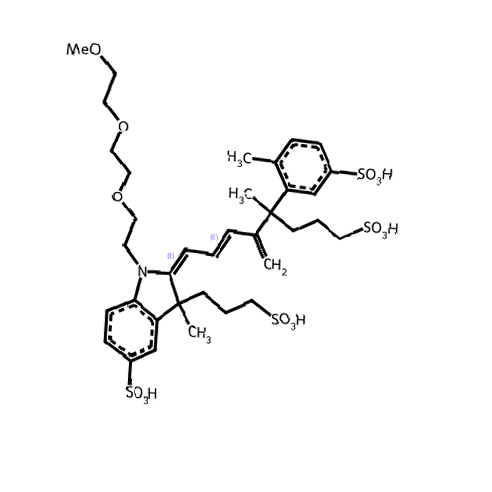 C=C(/C=C/C=C1/N(CCOCCOCCOC)c2ccc(S(=O)(=O)O)cc2C1(C)CCCS(=O)(=O)O)C(C)(CCCS(=O)(=O)O)c1cc(S(=O)(=O)O)ccc1C